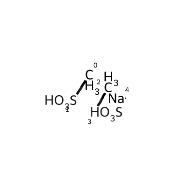 CS(=O)(=O)O.CS(=O)(=O)O.[Na]